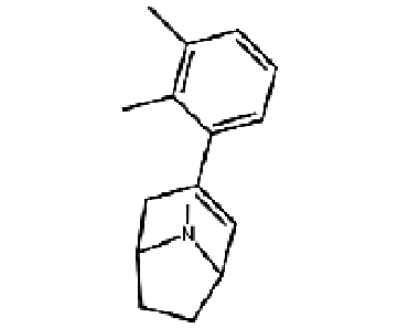 Cc1cccc(C2=CC3CCC(C2)N3C)c1C